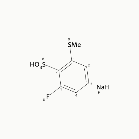 CSc1cccc(F)c1S(=O)(=O)O.[NaH]